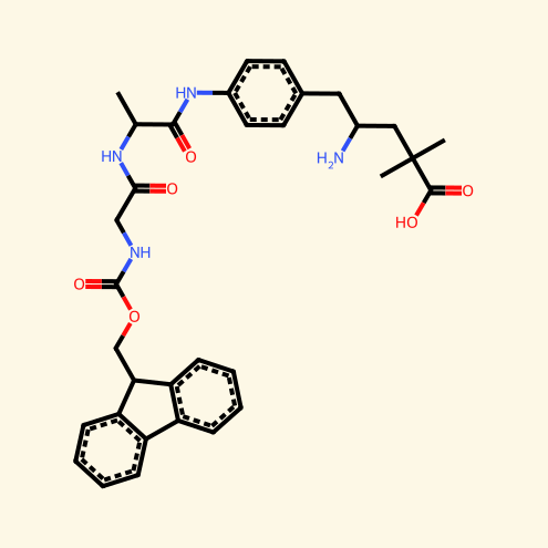 CC(NC(=O)CNC(=O)OCC1c2ccccc2-c2ccccc21)C(=O)Nc1ccc(CC(N)CC(C)(C)C(=O)O)cc1